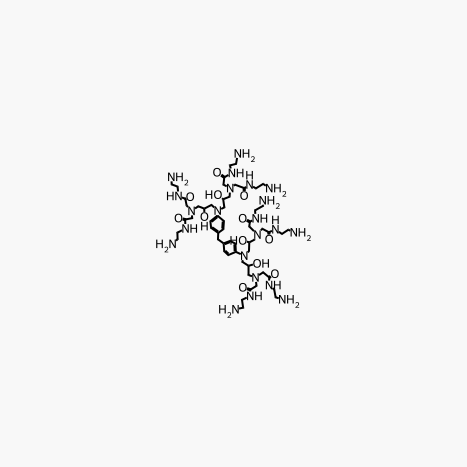 NCCNC(=O)CN(CC(=O)NCCN)CC(O)CN(CC(O)CN(CC(=O)NCCN)CC(=O)NCCN)c1ccc(Cc2ccc(N(CC(O)CN(CC(=O)NCCN)CC(=O)NCCN)CC(O)CN(CC(=O)NCCN)CC(=O)NCCN)cc2)cc1